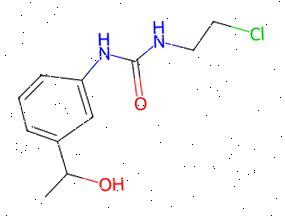 CC(O)c1cccc(NC(=O)NCCCl)c1